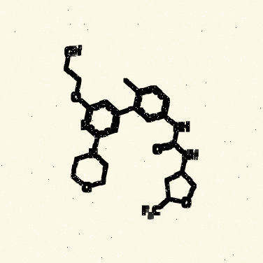 Cc1ccc(NC(=O)NC2COC(C(F)(F)F)C2)cc1-c1cc(OCCO)nc(N2CCOCC2)c1